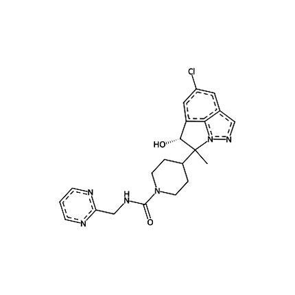 CC1(C2CCN(C(=O)NCc3ncccn3)CC2)[C@H](O)c2cc(Cl)cc3cnn1c23